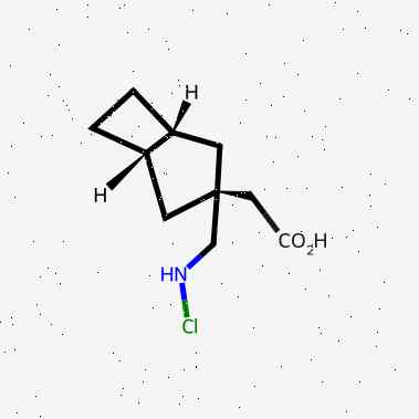 O=C(O)C[C@]1(CNCl)C[C@H]2CC[C@H]2C1